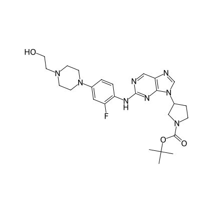 CC(C)(C)OC(=O)N1CCC(n2cnc3cnc(Nc4ccc(N5CCN(CCO)CC5)cc4F)nc32)C1